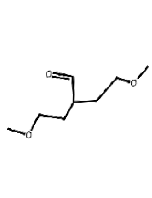 COCCC(C=O)CCOC